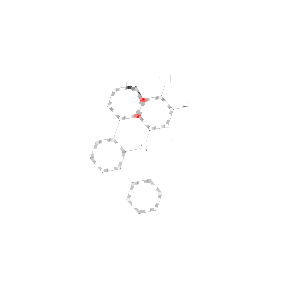 [2H]c1c(Cl)cc(Nc2c(-c3ccccc3)cccc2-c2ccccc2)c([2H])c1[2H]